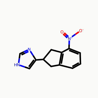 O=[N+]([O-])c1cccc2c1CC(c1c[nH]cn1)C2